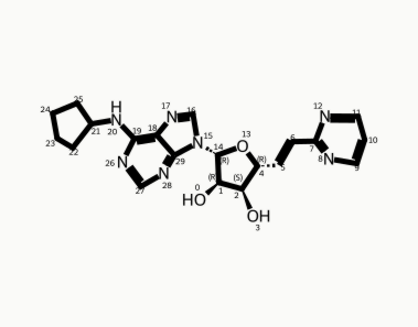 O[C@@H]1[C@H](O)[C@@H](C=Cc2ncccn2)O[C@H]1n1cnc2c(NC3CCCC3)ncnc21